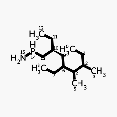 CCC(C)C(C)C(CC)C[C@H](CC)CPN